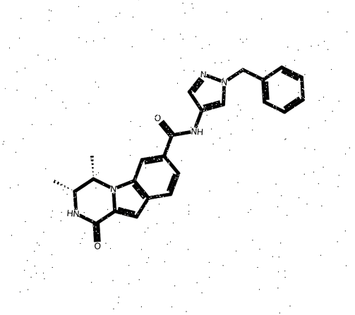 C[C@H]1NC(=O)c2cc3ccc(C(=O)Nc4cnn(Cc5ccccc5)c4)cc3n2[C@H]1C